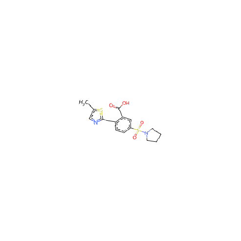 Cc1cnc(-c2ccc(S(=O)(=O)N3CCCC3)cc2C(=O)O)s1